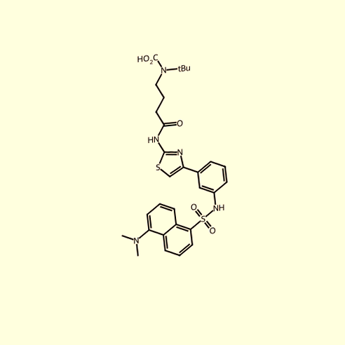 CN(C)c1cccc2c(S(=O)(=O)Nc3cccc(-c4csc(NC(=O)CCCN(C(=O)O)C(C)(C)C)n4)c3)cccc12